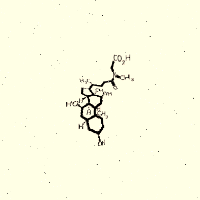 C[C@H](CCC(=O)N(C)CC(=O)O)[C@H]1CC[C@H]2[C@@H]3[C@H](O)C[C@@H]4C[C@H](O)CC[C@]4(C)[C@H]3C[C@H](O)[C@]12C